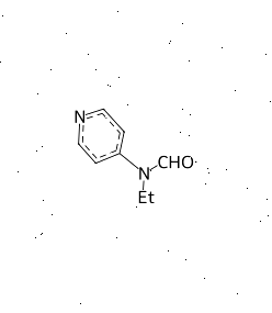 CCN([C]=O)c1ccncc1